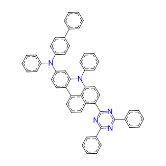 c1ccc(-c2ccc(N(c3ccccc3)c3ccc4c(c3)N(c3ccccc3)c3ccc(-c5nc(-c6ccccc6)nc(-c6ccccc6)n5)c5cccc-4c35)cc2)cc1